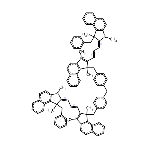 CN1/C(=C/C=C/C2=[N+](C)c3ccc4ccccc4c3C2(C)Cc2ccc(Cc3ccc(CC4(C)C(/C=C/C=C5/N(C)c6ccc7ccccc7c6C5(C)Cc5ccccc5)=[N+](C)c5ccc6ccccc6c54)cc3)cc2)C(C)(Cc2ccccc2)c2c1ccc1ccccc21